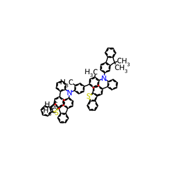 Cc1cc(-c2ccc(N(c3ccc4c(c3)C(C)(C)c3ccccc3-4)c3ccccc3-c3ccc4sc5ccccc5c4c3)c(C)c2)ccc1N(c1ccc2c(c1)C(C)(C)c1ccccc1-2)c1ccccc1-c1ccc2sc3ccccc3c2c1